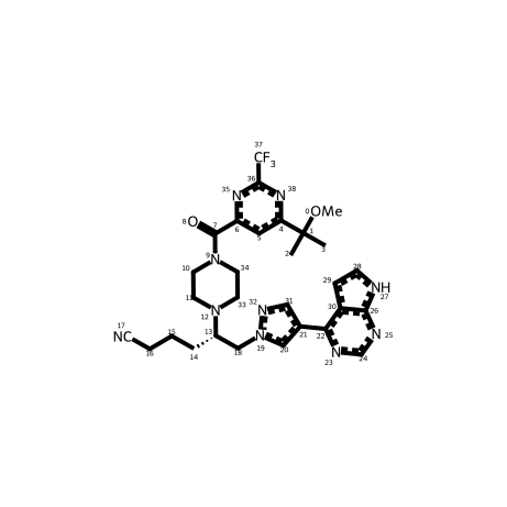 COC(C)(C)c1cc(C(=O)N2CCN([C@@H](CCCC#N)Cn3cc(-c4ncnc5[nH]ccc45)cn3)CC2)nc(C(F)(F)F)n1